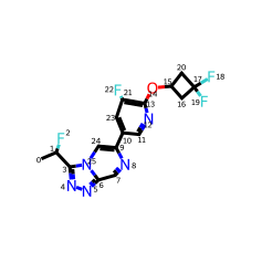 CC(F)c1nnc2cnc(-c3cnc(OC4CC(F)(F)C4)c(F)c3)cn12